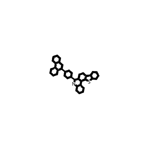 c1ccc2c(c1)cc(-c1ccc(-c3nc4ccccc4c4c3ccc3c5ccccc5sc34)cc1)c1ccccc12